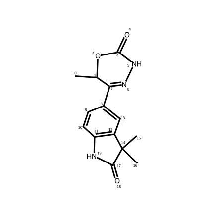 CC1OC(=O)NN=C1c1ccc2c(c1)C(C)(C)C(=O)N2